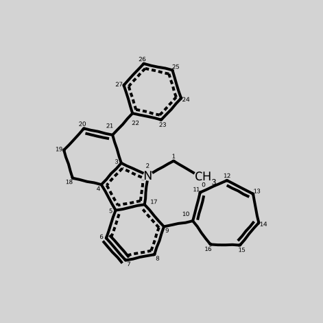 CCn1c2c(c3c#ccc(C4=CC=CC=CC4)c31)CCC=C2c1ccccc1